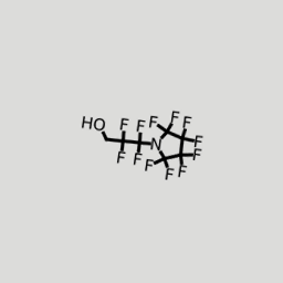 OCC(F)(F)C(F)(F)N1C(F)(F)C(F)(F)C(F)(F)C1(F)F